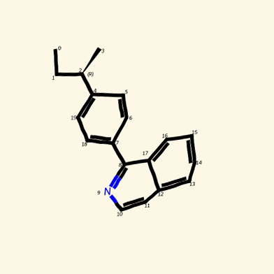 CC[C@@H](C)c1ccc(-c2nccc3ccccc23)cc1